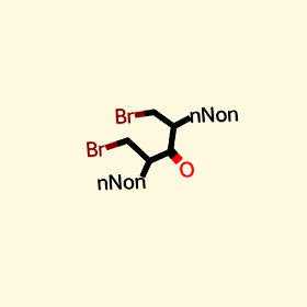 CCCCCCCCCC(CBr)C(=O)C(CBr)CCCCCCCCC